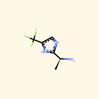 C[C@H](N)c1ncc(C(F)(F)F)[nH]1